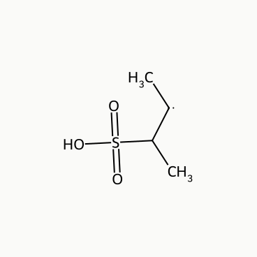 C[CH]C(C)S(=O)(=O)O